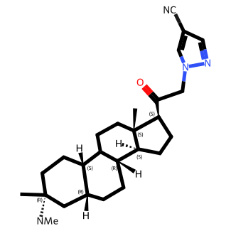 CN[C@]1(C)CC[C@@H]2C3CC[C@]4(C)[C@@H](C(=O)Cn5cc(C#N)cn5)CC[C@H]4[C@@H]3CC[C@@H]2C1